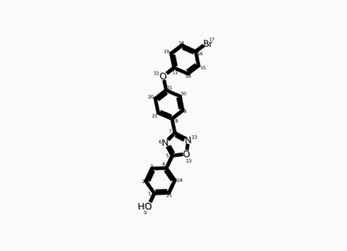 Oc1ccc(-c2nc(-c3ccc(Oc4ccc(Br)cc4)cc3)no2)cc1